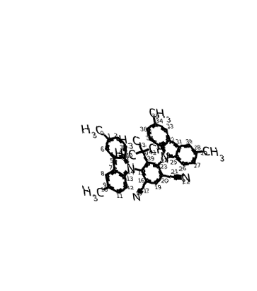 Cc1ccc2c(c1)c1cc(C)ccc1n2-c1c(C#N)cc(C#N)c(-n2c3ccc(C)cc3c3cc(C)ccc32)c1C(C)(C)C